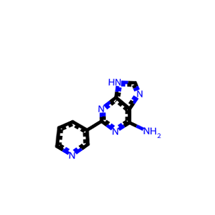 Nc1nc(-c2cccnc2)nc2[nH]cnc12